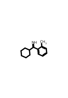 Cc1ccccc1C(=N)C1CCCCC1